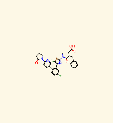 CN(C(=O)[C@@H](CC(=O)O)Cc1ccccc1)c1nc(-c2cc(F)ccc2-c2ccc(N3CCCC3=O)nc2)c(F)s1